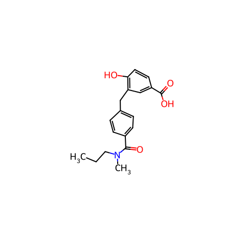 CCCN(C)C(=O)c1ccc(Cc2cc(C(=O)O)ccc2O)cc1